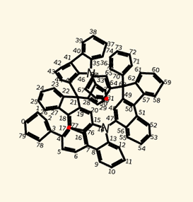 c1ccc(-c2ccc(-c3ccccc3N(c3ccc4c(c3)C3(c5ccccc5-4)c4ccccc4-n4c5ccccc5c5cccc3c54)c3cc4c(c5ccccc35)-c3ccccc3C4(c3ccccc3)c3ccccc3)cc2)cc1